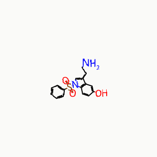 NCCc1cn(S(=O)(=O)c2ccccc2)c2ccc(O)cc12